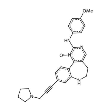 COc1ccc(Nc2ncc3c([n+]2[O-])-c2ccc(C#CCN4CCCC4)cc2NCC3)cc1